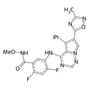 CONC(=O)c1cc(Nc2ncnn3cc(-c4nc(C)no4)c(C(C)C)c23)c(F)cc1F